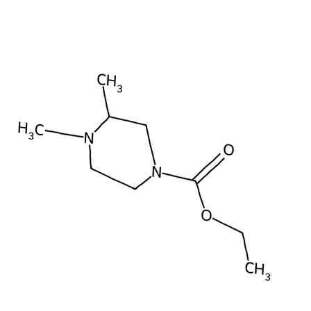 CCOC(=O)N1CCN(C)C(C)C1